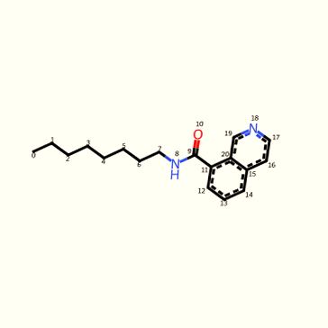 CCCCCCCCNC(=O)c1cccc2ccncc12